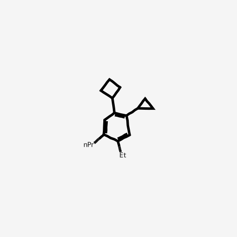 CCCc1cc(C2CCC2)c(C2CC2)cc1CC